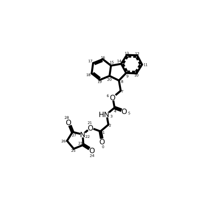 O=C(CNC(=O)OCC1c2ccccc2C2C=CC=CC21)ON1C(=O)CCC1=O